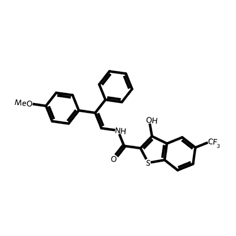 COc1ccc(C(=CNC(=O)c2sc3ccc(C(F)(F)F)cc3c2O)c2ccccc2)cc1